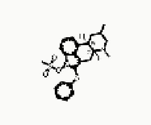 CC1C[C@@H]2c3cccc4c3c(c(Sc3ccccc3)n4OS(C)(=O)=O)C[C@H]2N(C)C1